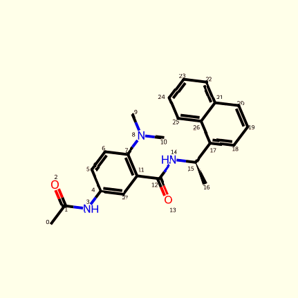 CC(=O)Nc1ccc(N(C)C)c(C(=O)N[C@H](C)c2cccc3ccccc23)c1